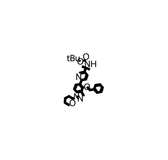 CC(C)(C)OC(=O)NC(C)(C)c1ccc(-c2ccc3c(cnn3C3CCCCO3)c2OCc2ccccc2)nc1